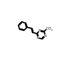 ClC(Cl)(Cl)c1ncnc(C=Cc2ccccc2)n1